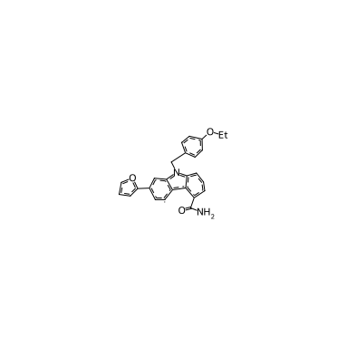 CCOc1ccc(Cn2c3cc(-c4ccco4)c[c]c3c3c(C(N)=O)cccc32)cc1